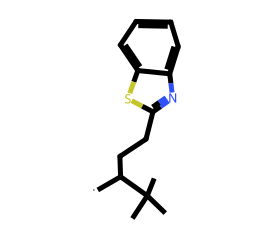 [CH2]C(CCc1nc2ccccc2s1)C(C)(C)C